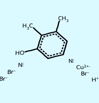 Cc1cccc(O)c1C.[Br-].[Br-].[Br-].[Cu+2].[H+].[N].[N]